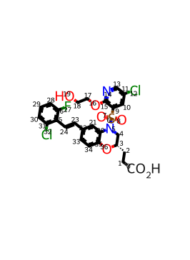 O=C(O)CC[C@H]1CN(S(=O)(=O)c2cc(Cl)cnc2OCCO)c2cc(/C=C/c3c(F)cccc3Cl)ccc2O1